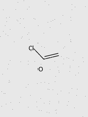 C=CCl.[O]